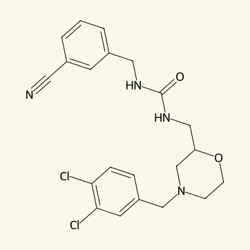 N#Cc1cccc(CNC(=O)NCC2CN(Cc3ccc(Cl)c(Cl)c3)CCO2)c1